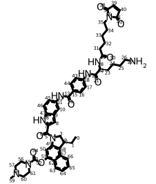 CC[C@@H]1CN(C(=O)c2cc3cc(NC(=O)c4ccc(NC(=O)[C@H](CCCCN)NC(=O)CCCCCN5C(=O)C=CC5=O)cc4)ccc3[nH]2)c2cc(OC(=O)N3CCN(C)CC3)c3ccccc3c21